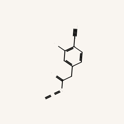 C#Cc1ccc(CC(=O)N=C=S)cc1F